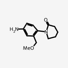 COCc1cc(N)ccc1N1CCCCC1=O